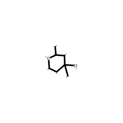 CCC1(C)CCOC(C)C1